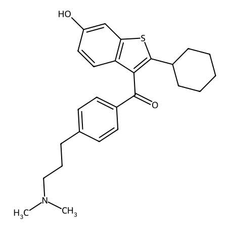 CN(C)CCCc1ccc(C(=O)c2c(C3CCCCC3)sc3cc(O)ccc23)cc1